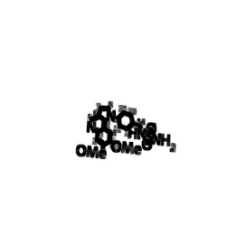 COc1cc2ncc3ccn([C@H]4CC[C@H](CNS(N)(=O)=O)CC4)c3c2cc1OC